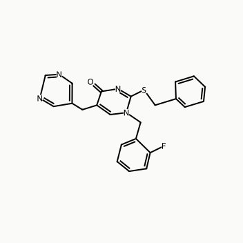 O=c1nc(SCc2ccccc2)n(Cc2ccccc2F)cc1Cc1cncnc1